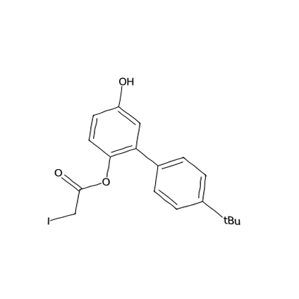 CC(C)(C)c1ccc(-c2cc(O)ccc2OC(=O)CI)cc1